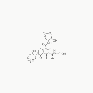 CC(=O)N(NCCO)c1c(I)c(C(=O)NC2COC(C)(C)OCC2O)c(I)c(C(=O)NC2COC(C)(C)OCC2O)c1I